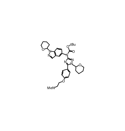 CNCCOc1ccc(-c2nc(N(C(=O)OC(C)(C)C)c3ccc4c(cnn4C4CCCCO4)c3)nn2C2CCCCO2)cc1